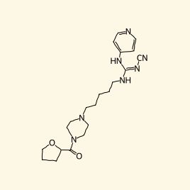 N#C/N=C(/NCCCCCN1CCN(C(=O)C2CCCO2)CC1)Nc1ccncc1